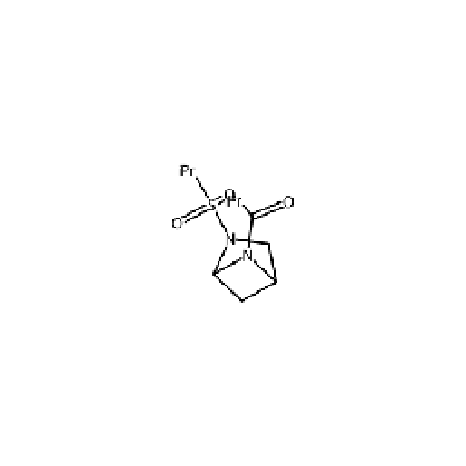 CC(C)C(=O)N1C2CC1N(S(=O)(=O)C(C)C)C2